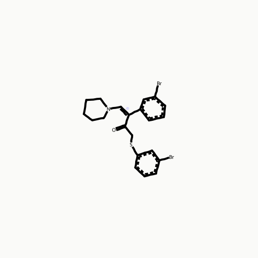 O=C(CSc1cccc(Br)c1)/C(=C\N1CCCCC1)c1cccc(Br)c1